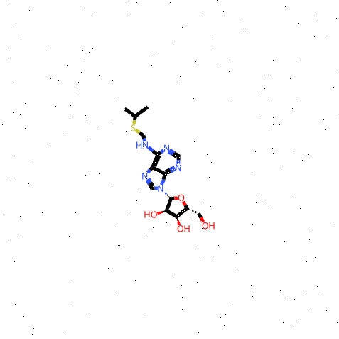 CC(C)SCNc1ncnc2c1ncn2[C@@H]1O[C@H](CO)[C@@H](O)[C@H]1O